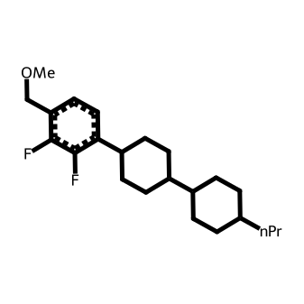 CCCC1CCC(C2CCC(c3ccc(COC)c(F)c3F)CC2)CC1